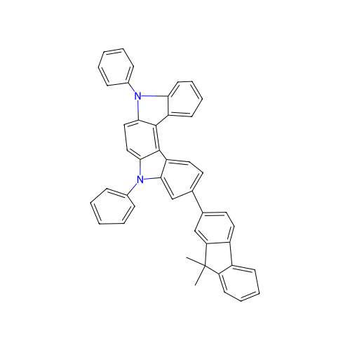 CC1(C)c2ccccc2-c2ccc(-c3ccc4c5c6c7ccccc7n(-c7ccccc7)c6ccc5n(-c5ccccc5)c4c3)cc21